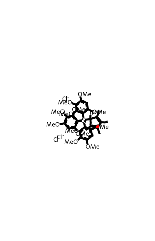 COc1cc(OC)c([Si](c2c(OC)cc(OC)c(OC)c2OC)(c2c(OC)cc(OC)c(OC)c2OC)[C]2([Ti+3])C(C)=C(C)C(C)=C2C)c(OC)c1OC.[Cl-].[Cl-].[Cl-]